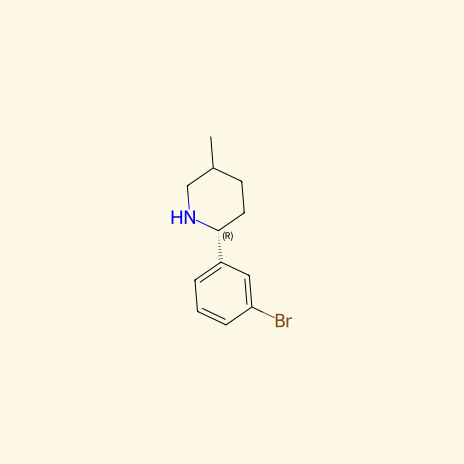 CC1CC[C@H](c2cccc(Br)c2)NC1